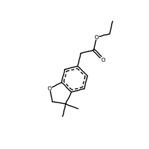 CCOC(=O)Cc1ccc2c(c1)OCC2(C)C